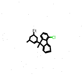 CCC1CC(C2(C)c3ccccc3-c3c(Cl)cccc32)=CC(C)C1